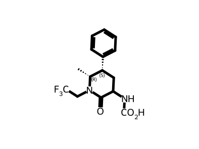 C[C@@H]1[C@H](c2ccccc2)CC(NC(=O)O)C(=O)N1CC(F)(F)F